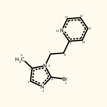 Cc1cnc(Br)n1CCc1ccccn1